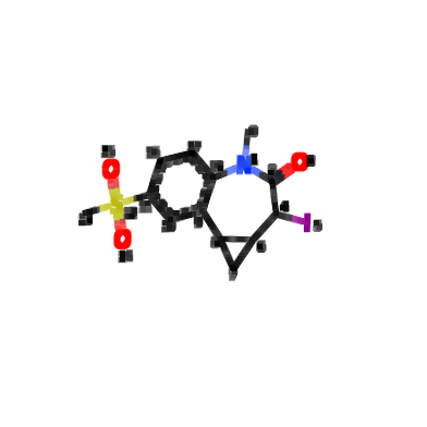 CN1C(=O)C(I)C2CC2c2cc(S(C)(=O)=O)ccc21